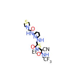 CCn1c(=C(C#N)C(=O)NCC(F)(F)F)sc(=CNc2cccc(NC(=O)CN3CCSCC3)n2)c1=O